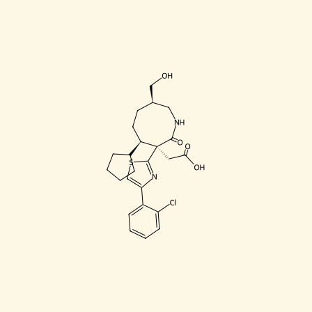 O=C(O)C[C@@]1(c2nc(-c3ccccc3Cl)cs2)C(=O)NC[C@H](CO)CC[C@@H]1C1CCCC1